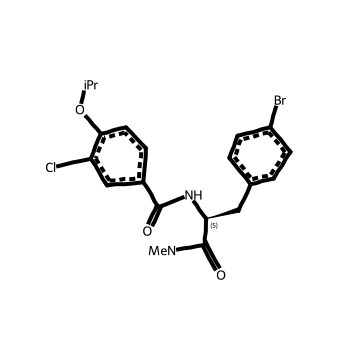 CNC(=O)[C@H](Cc1ccc(Br)cc1)NC(=O)c1ccc(OC(C)C)c(Cl)c1